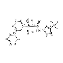 CC(C)(C)c1cc(NC(=O)C(C)(C)S(=O)(=O)C2=COC=C(C3=CC=CCC3)O2)no1